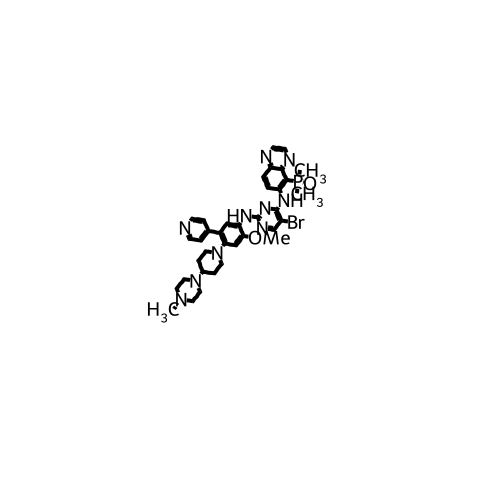 COc1cc(N2CCC(N3CCN(C)CC3)CC2)c(-c2ccncc2)cc1Nc1ncc(Br)c(Nc2ccc3nccnc3c2P(C)(C)=O)n1